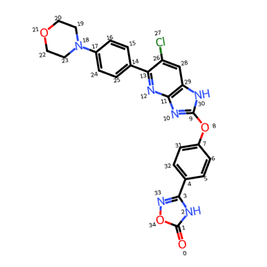 O=c1[nH]c(-c2ccc(Oc3nc4nc(-c5ccc(N6CCOCC6)cc5)c(Cl)cc4[nH]3)cc2)no1